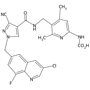 Cc1cc(NC(=O)O)nc(C)c1CNC(=O)c1cn(Cc2cc(F)c3ncc(Cl)cc3c2)nc1C#N